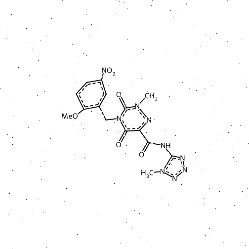 COc1ccc([N+](=O)[O-])cc1Cn1c(=O)c(C(=O)Nc2nnnn2C)nn(C)c1=O